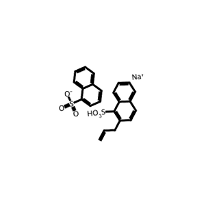 C=CCc1ccc2ccccc2c1S(=O)(=O)O.O=S(=O)([O-])c1cccc2ccccc12.[Na+]